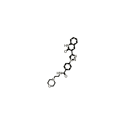 O=C(NCCN1CCOCC1)c1ccc(-n2cc(-c3cc4ccccc4[nH]c3=O)nn2)cc1